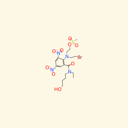 CCN(CCCCO)C(=O)c1cc([N+](=O)[O-])cc([N+](=O)[O-])c1N(CCBr)CCOS(C)(=O)=O